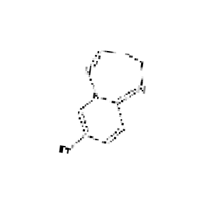 CC(C)C1=CN2N=CCCN=C2C=C1